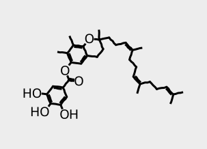 CC(C)=CCCC(C)=CCCC(C)=CCCC1(C)CCc2cc(OC(=O)c3cc(O)c(O)c(O)c3)c(C)c(C)c2O1